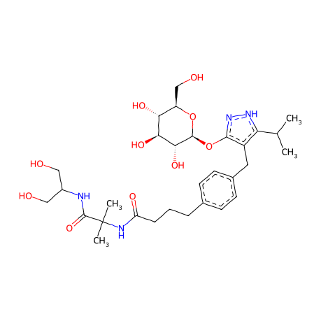 CC(C)c1[nH]nc(O[C@@H]2O[C@H](CO)[C@@H](O)[C@H](O)[C@H]2O)c1Cc1ccc(CCCC(=O)NC(C)(C)C(=O)NC(CO)CO)cc1